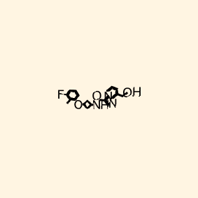 Cc1c(F)cccc1OC1CC(NC(=O)c2cnc3c(CO)cccn23)C1